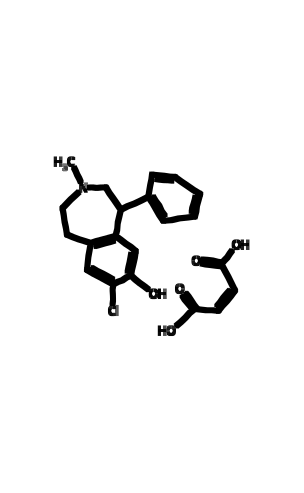 CN1CCc2cc(Cl)c(O)cc2C(c2ccccc2)C1.O=C(O)/C=C\C(=O)O